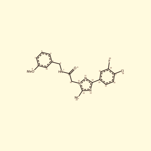 COc1cccc(CNC(=O)Cn2nc(-c3ccc(Cl)c(F)c3)nc2C#N)c1